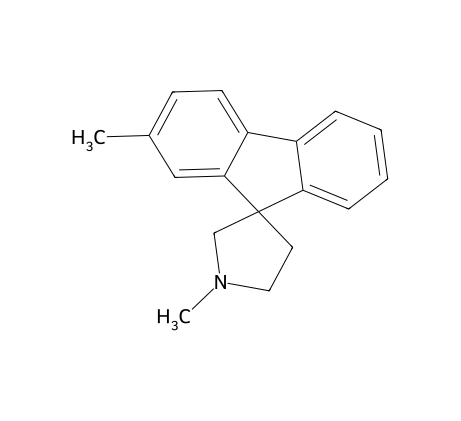 Cc1ccc2c(c1)C1(CCN(C)C1)c1ccccc1-2